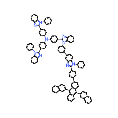 c1ccc(-n2c(-c3ccc(N(c4ccc(-c5nc6ccccc6n5-c5ccccc5)cc4)c4ccc(-c5nc6ccccc6n5-c5cccc(-c6ccc7c(c6)nc(-c6ccc(-c8ccc9c(-c%10ccc%11ccccc%11c%10)c%10ccccc%10c(-c%10ccc%11ccccc%11c%10)c9c8)cc6)n7-c6ccccc6)c5)cc4)cc3)nc3ccccc32)cc1